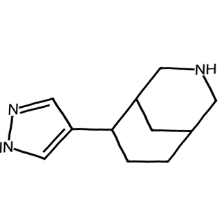 c1n[nH]cc1C1CCC2CNCC1C2